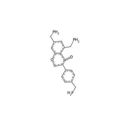 O=c1c(-c2ccc(CP)cc2)coc2cc(CP)cc(CP)c12